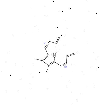 C=C/C=C\c1c(C)c(C)c(/C=C\C=C)n1C